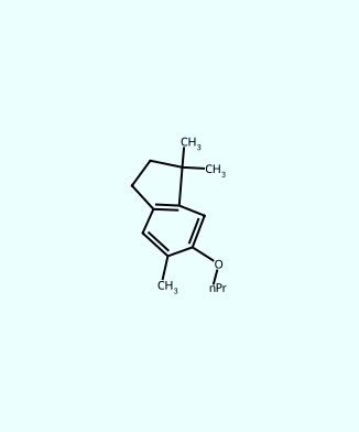 CCCOc1cc2c(cc1C)CCC2(C)C